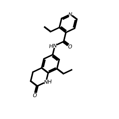 CCc1cnccc1C(=O)Nc1cc(CC)c2c(c1)CCC(=O)N2